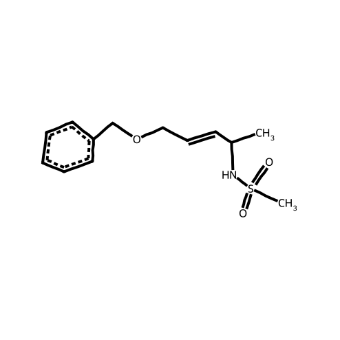 CC(C=CCOCc1ccccc1)NS(C)(=O)=O